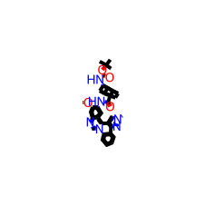 COc1cc2ncnc(-c3cn(C)nc3-c3ccccc3)c2cc1NC(=O)C12C3C4C1C1C2C3C41NC(=O)OC(C)(C)C